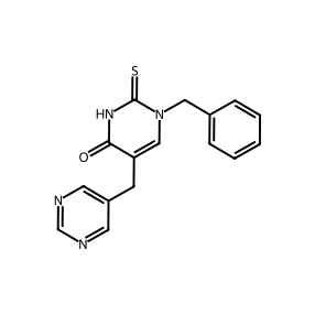 O=c1[nH]c(=S)n(Cc2ccccc2)cc1Cc1cncnc1